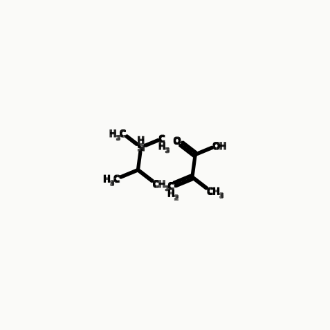 C=C(C)C(=O)O.CC(C)[SiH](C)C